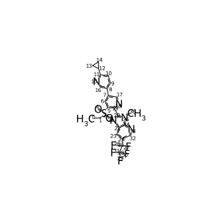 CCS(=O)(=O)c1cc(-c2ccc(C3CC3)nc2)cnc1-c1nc2cc(C(F)(F)C(F)(F)F)cnc2n1C